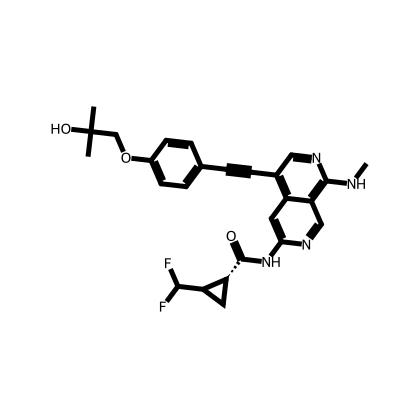 CNc1ncc(C#Cc2ccc(OCC(C)(C)O)cc2)c2cc(NC(=O)[C@@H]3CC3C(F)F)ncc12